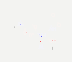 CC(C)n1c(=O)c(OC(=O)N[C@@H]2C[C@H]3CC[C@@H](C2)N3C[C@@H](O)CNCS(C)(=O)=O)cc2ccccc21